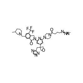 CC1CCCN(Cc2cc3c(c(C(F)(F)F)c2)CN(c2cc(C4(Cc5nncn5C)COC4)cc(N4CCN(C(=O)CCCN=[N+]=[N-])CC4)n2)C3=O)C1